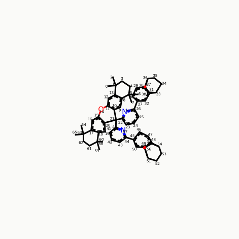 CC1(C)CCC(C)(C)c2cc3c(cc21)Oc1cc2c(cc1C3(c1cccc(-c3ccc4c(c3)C3CCC4CC3)n1)c1cccc(-c3ccc4c(c3)C3CCC4CC3)n1)C(C)(C)CCC2(C)C